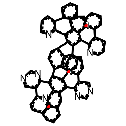 c1ccc(-c2cccnc2-c2c3c(c(-c4ncccc4-c4ccccn4)c4ccccc24)-c2ccc4c5c(ccc-3c25)-c2c-4c(-c3ncncc3-c3ccccn3)c3cc4ccccc4cc3c2-c2ncncc2-c2ccccn2)cc1